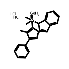 CC1=Cc2ccccc2[CH]1[Zr]([CH3])([CH3])(=[GeH2])[C]1=C(C)C(c2ccccc2)=CC1C.Cl.Cl